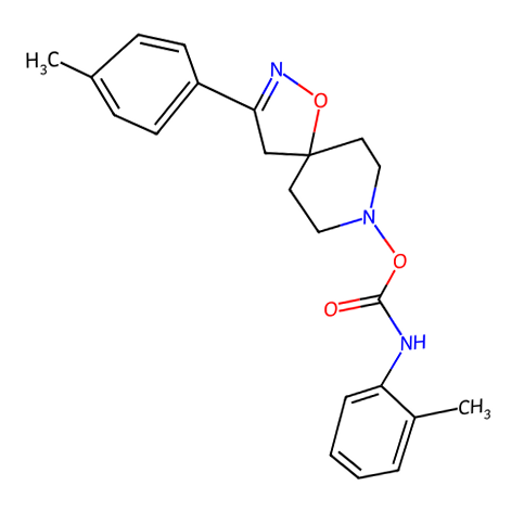 Cc1ccc(C2=NOC3(CCN(OC(=O)Nc4ccccc4C)CC3)C2)cc1